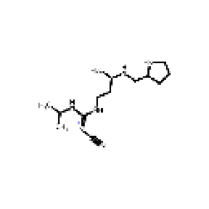 CC(C)N/C(=N/C#N)NCCC(C)NCC1CCCN1